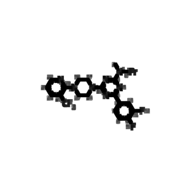 CC(C)N(C)c1nc(-c2ccc(F)c(F)c2)nc(N2CCN(c3ncccc3C(F)(F)F)CC2)n1